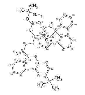 CC(C)(C)OC(=O)NC(CCc1nc2ccccc2n1Cc1ccc(C(C)(C)C)cc1)C(=O)NOC(c1ccccc1)(c1ccccc1)c1ccccc1